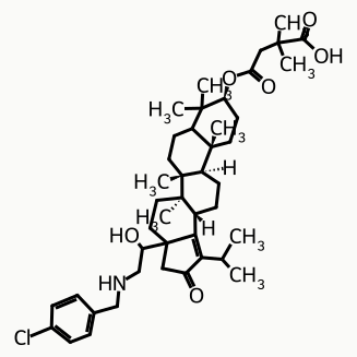 CC(C)C1=C2[C@H]3CC[C@@H]4[C@@]5(C)CC[C@H](OC(=O)CC(C)(C)C(=O)O)C(C)(C)C5CC[C@@]4(C)[C@]3(C)CCC2(C(O)CNCc2ccc(Cl)cc2)CC1=O